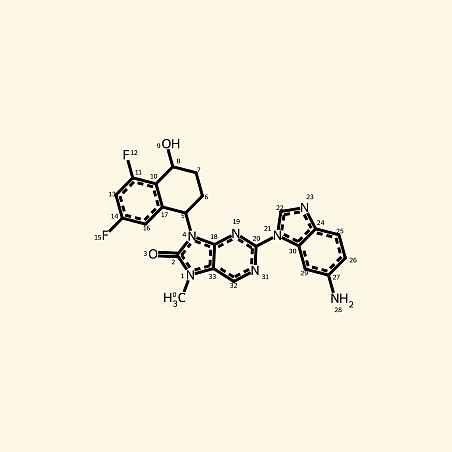 Cn1c(=O)n(C2CCC(O)c3c(F)cc(F)cc32)c2nc(-n3cnc4ccc(N)cc43)ncc21